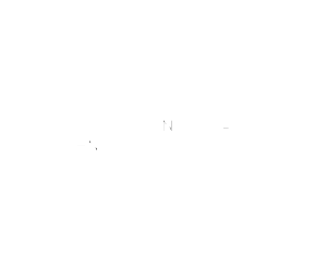 CCc1cccc(C)c1N1C=CC=CC1C=N